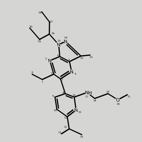 CCc1nc2c(nc1-c1ccc(C(C)C)nc1NCCOC)c(C)nn2C(CC)CC